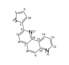 c1csc(-c2ccc3ccc4ncccc4c3n2)c1